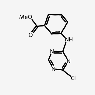 COC(=O)c1cccc(Nc2ncnc(Cl)n2)c1